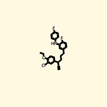 C#CC(CCCc1ccc(F)c(Nc2ccc(F)cc2)c1)c1ccc(OCC)c(Cl)c1